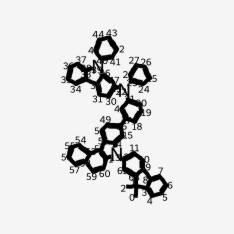 CC1(C)c2ccccc2-c2ccc(-n3c4cc(-c5cccc(N(c6ccccc6)c6ccc7c8ccccc8n(-c8ccccc8)c7c6)c5)ccc4c4c5ccccc5ccc43)cc21